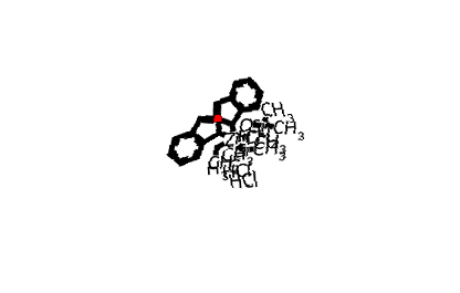 Cl.Cl.[CH2]=[Zr]([CH3])([CH2]C)([O][Si](C)(C)C)([CH]1C=Cc2ccccc21)([CH]1C=Cc2ccccc21)[SiH](C)C